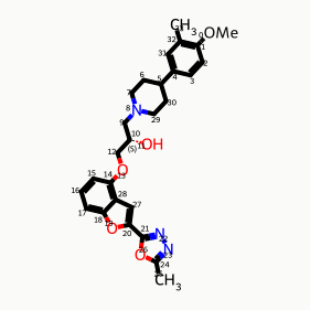 COc1ccc(C2CCN(C[C@H](O)COc3cccc4oc(-c5nnc(C)o5)cc34)CC2)cc1C